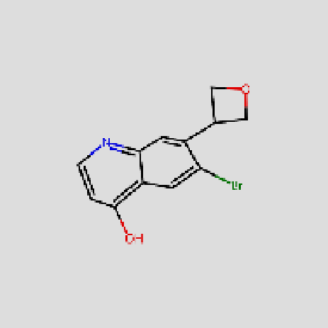 Oc1ccnc2cc(C3COC3)c(Br)cc12